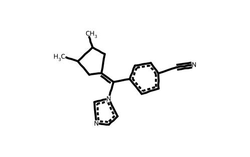 CC1CC(=C(c2ccc(C#N)cc2)n2ccnc2)CC1C